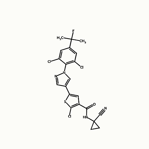 CC(C)(F)c1cc(Cl)c(-n2cc(-c3cc(C(=O)NC4(C#N)CC4)c(Cl)s3)cn2)c(Cl)c1